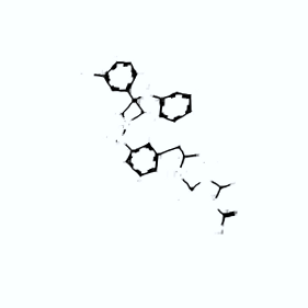 CC(OC(=O)NC(Cc1cccc([S+]([O-])N2CC(Oc3ccccc3)(c3cccc(F)c3)C2)c1)C(=O)O)OC(=O)C(C)C